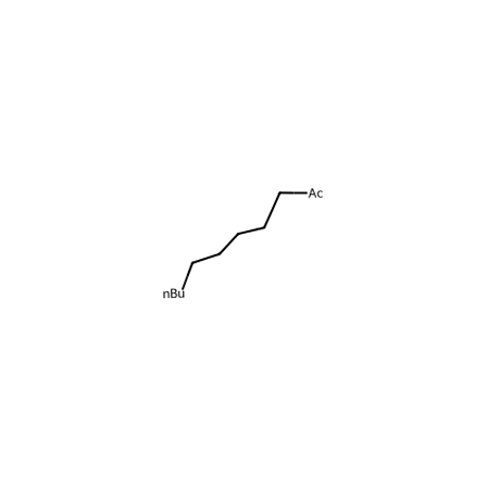 [CH2]CCCCCCCCC(C)=O